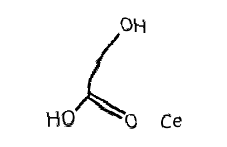 O=C(O)CO.[Ce]